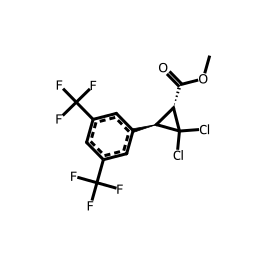 COC(=O)[C@H]1[C@H](c2cc(C(F)(F)F)cc(C(F)(F)F)c2)C1(Cl)Cl